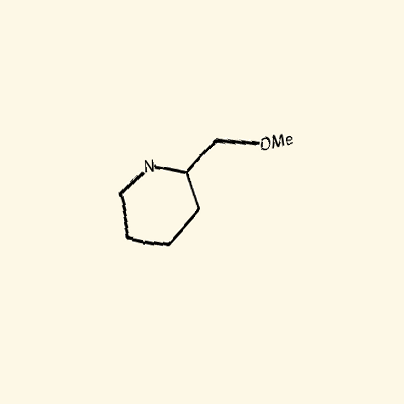 COCC1CCCC[N]1